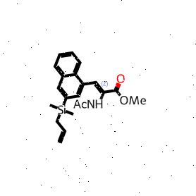 C=CC[Si](C)(C)c1cc(/C=C(\NC(C)=O)C(=O)OC)c2ccccc2c1